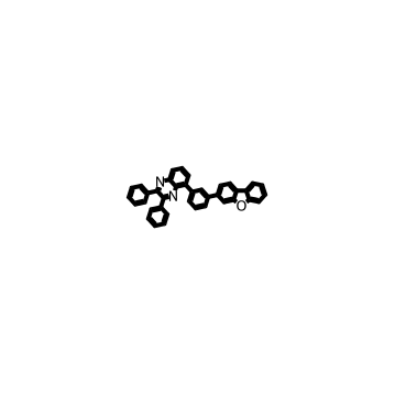 c1ccc(-c2nc3cccc(-c4cccc(-c5ccc6c(c5)oc5ccccc56)c4)c3nc2-c2ccccc2)cc1